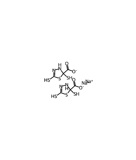 O=C([O-])C1(S)NN=C(S)S1.O=C([O-])C1(S)NN=C(S)S1.[Na+].[Na+]